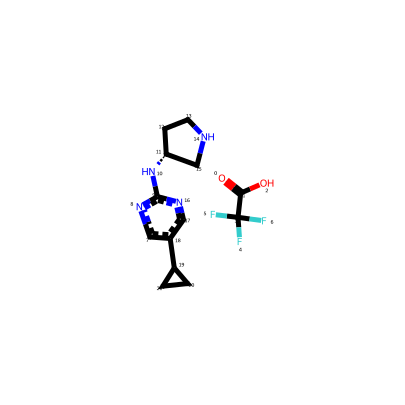 O=C(O)C(F)(F)F.c1nc(N[C@@H]2CCNC2)ncc1C1CC1